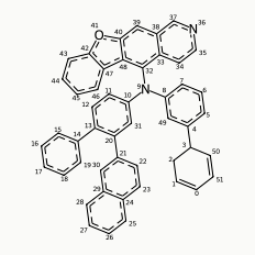 C1=CCC(c2cccc(N(c3ccc(-c4ccccc4)c(-c4ccc5ccccc5c4)c3)c3c4ccncc4cc4oc5ccccc5c34)c2)C=C1